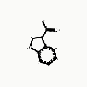 CC(=O)C1COc2ccccc21